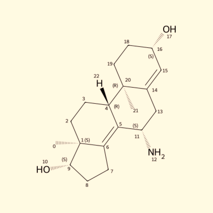 C[C@]12CC[C@H]3C(=C1CC[C@@H]2O)[C@@H](N)CC1=C[C@@H](O)CC[C@@]13C